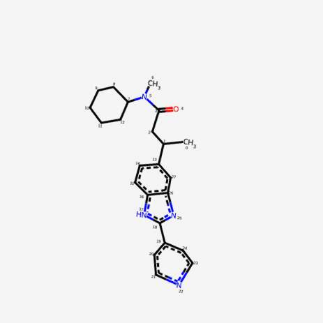 CC(CC(=O)N(C)C1CCCCC1)c1ccc2[nH]c(-c3ccncc3)nc2c1